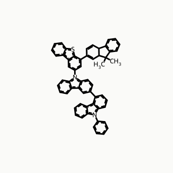 CC1(C)c2ccccc2C2C=CC(c3cc(-n4c5ccccc5c5cc(-c6cccc7c6c6ccccc6n7-c6ccccc6)ccc54)cc4c3sc3ccccc34)=CC21